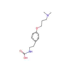 CN(C)CCCOc1ccc(CCNC(=O)O)cc1